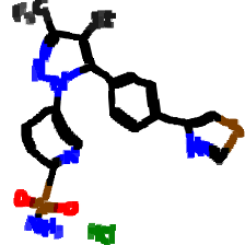 CCc1c(C(F)(F)F)nn(-c2ccc(S(N)(=O)=O)nc2)c1-c1ccc(-c2cscn2)cc1.Cl